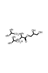 CCCC(CCC)C(=O)O.CCCC(CCC)C(=O)O.CCCC(CCC)C(=O)OCC(O)CO